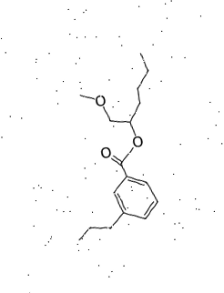 CCCCC(COC)OC(=O)c1cccc(CCC)c1